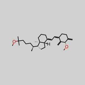 C=C1CC/C(=C/C=C2\CCC[C@]3(C)[C@@H]([C@@H](C)CCCC(C)(C)OC)CC[C@@H]23)C(=C)[C@H]1OC